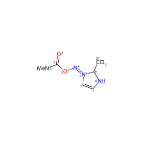 CNC(=O)ON=[N+]1C=CNC1C(Cl)(Cl)Cl